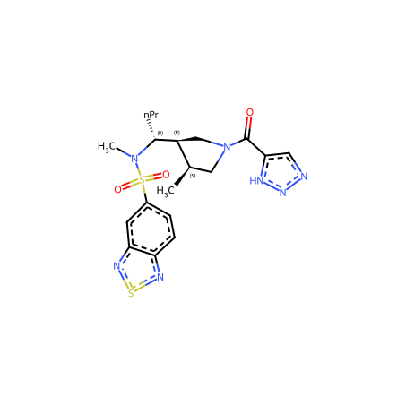 CCC[C@H]([C@H]1CN(C(=O)c2cnn[nH]2)C[C@H]1C)N(C)S(=O)(=O)c1ccc2nsnc2c1